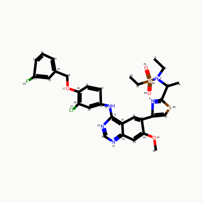 CCN(C(C)c1nc(-c2cc3c(Nc4ccc(OCc5cccc(F)c5)c(Cl)c4)ncnc3cc2OC)cs1)S(=O)(=O)CC